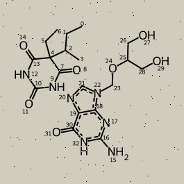 CCC(C)C1(CC)C(=O)NC(=O)NC1=O.Nc1nc2c(ncn2COC(CO)CO)c(=O)[nH]1